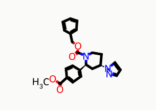 COC(=O)c1ccc([C@@H]2C[C@@H](n3cccn3)CCN2C(=O)OCc2ccccc2)cc1